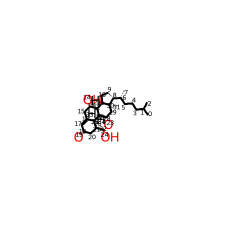 CC(C)CCC[C@@H](C)[C@H]1CC[C@H]2[C@@H]3[C@H](O)CC4=CC(=O)CC(C(=O)O)[C@]4(C)[C@H]3CC[C@]12C